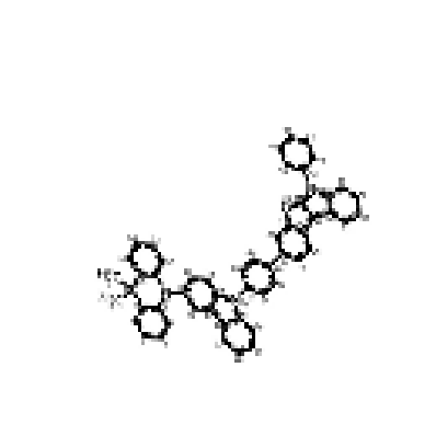 CC1(C)c2ccccc2N(c2ccc3c(c2)c2ccccc2n3-c2ccc(-c3ccc4c(c3)oc3c4c4ccccc4n3-c3ccccc3)cc2)c2ccccc21